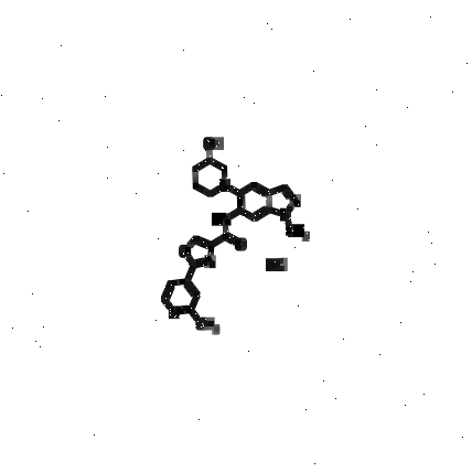 Cc1cc(-c2nc(C(=O)Nc3cc4c(cnn4C)cc3N3CCCC(O)C3)co2)ccn1.Cl